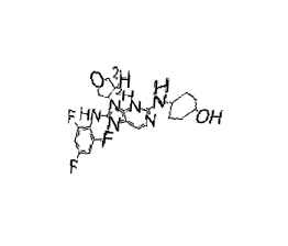 [2H]C1([2H])COCC1n1c(Nc2c(F)cc(F)cc2F)nc2cnc(NC3CCC(O)CC3)nc21